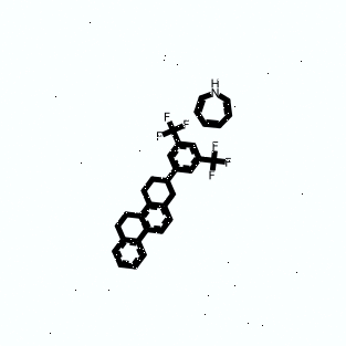 C1=CC=CNC=C1.FC(F)(F)c1cc(C2CCc3c(ccc4c3CCc3ccccc3-4)C2)cc(C(F)(F)F)c1